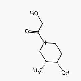 C[C@@H]1CN(C(=O)CO)CC[C@@H]1O